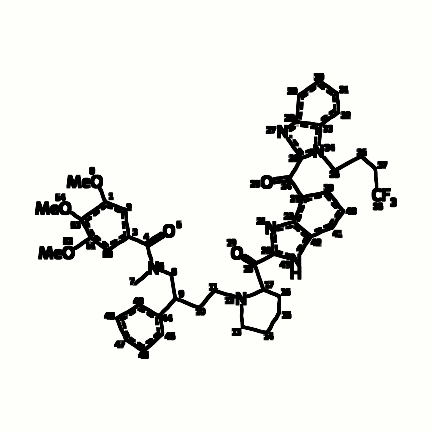 COc1cc(C(=O)N(C)CC(CCN2CCCCC2C(=O)c2nc3c(C(=O)c4nc5ccccc5n4CCCC(F)(F)F)cccc3[nH]2)c2ccccc2)cc(OC)c1OC